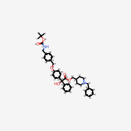 CC(C)(C)OC(=O)NCc1ccc(COc2ccc(C(O)(C(=O)OCC3CCN(Cc4ccccc4)CC3)c3ccccc3)cc2)cc1